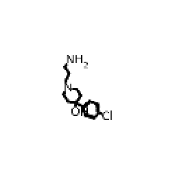 NCCCN1CCC(O)(c2ccc(Cl)cc2)CC1